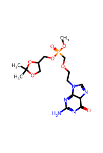 COP(=O)(COCCN1C=NC2C(=O)N=C(N)N=C21)OCC1COC(C)(C)O1